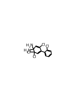 NC1(N)C=C(Cl)C(c2ccccc2Cl)=CC1(Cl)Cl